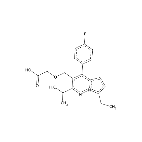 CCc1ccc2c(-c3ccc(F)cc3)c(COCC(=O)O)c(C(C)C)nn12